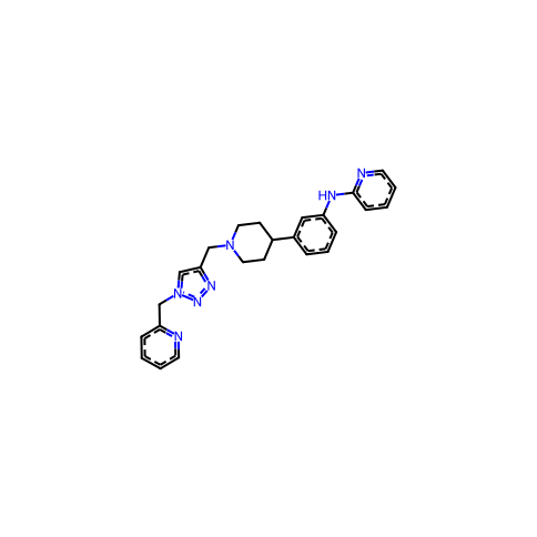 c1ccc(Cn2cc(CN3CCC(c4cccc(Nc5ccccn5)c4)CC3)nn2)nc1